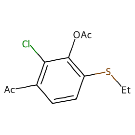 CCSc1ccc(C(C)=O)c(Cl)c1OC(C)=O